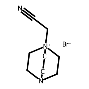 N#CC[N+]12CCN(CC1)CC2.[Br-]